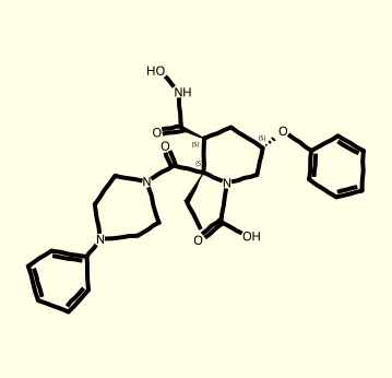 CC[C@@]1(C(=O)N2CCN(c3ccccc3)CC2)[C@@H](C(=O)NO)C[C@H](Oc2ccccc2)CN1C(=O)O